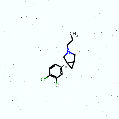 CCCN1CC2C[C@@]2(c2ccc(Cl)c(Cl)c2)C1